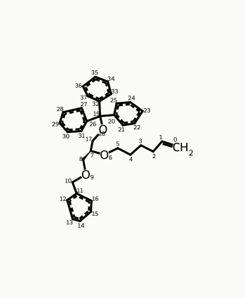 C=CCCCCO[C@@H](COCc1ccccc1)COC(c1ccccc1)(c1ccccc1)c1ccccc1